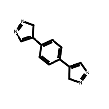 C1=C(c2ccc(C3=CN=NC3)cc2)CN=N1